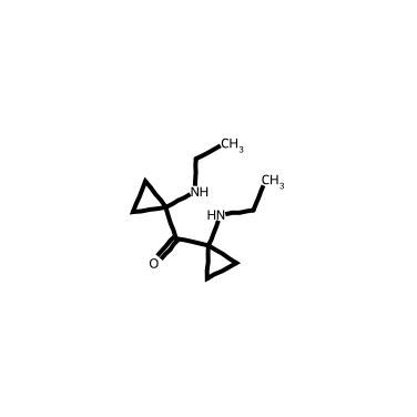 CCNC1(C(=O)C2(NCC)CC2)CC1